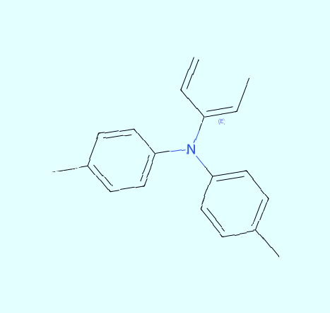 C=C/C(=C\C)N(c1ccc(C)cc1)c1ccc(C)cc1